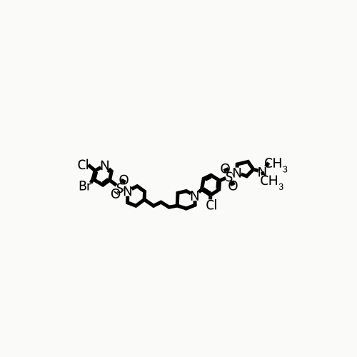 CN(C)C1CCN(S(=O)(=O)c2ccc(N3CCC(CCCC4CCN(S(=O)(=O)c5cnc(Cl)c(Br)c5)CC4)CC3)c(Cl)c2)C1